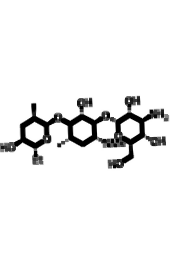 CC[C@H]1O[C@H](OC2[C@@H](C)C[C@@H](NC)[C@H](O[C@H]3O[C@H](CO)[C@@H](O)[C@H](N)[C@H]3O)[C@H]2O)[C@H](C)C[C@@H]1O